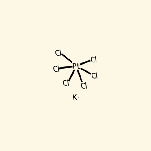 [Cl][Pt]([Cl])([Cl])([Cl])([Cl])[Cl].[K]